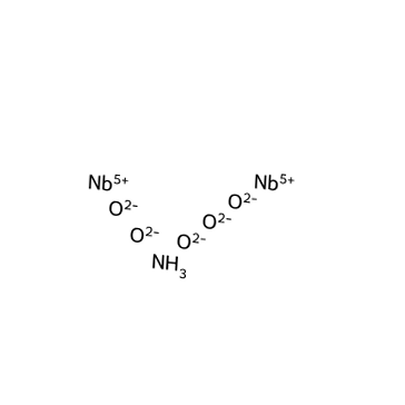 N.[Nb+5].[Nb+5].[O-2].[O-2].[O-2].[O-2].[O-2]